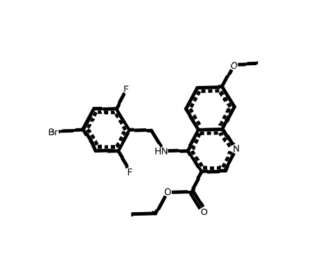 CCOC(=O)c1cnc2cc(OC)ccc2c1NCc1c(F)cc(Br)cc1F